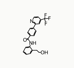 O=C(Nc1ccccc1CCO)c1ccc(-c2cc(C(F)(F)F)ccn2)cc1